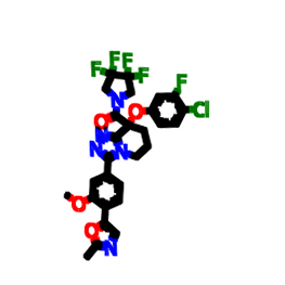 COc1cc(-c2nnc3n2CCCC3(Oc2ccc(Cl)c(F)c2)C(=O)N2CC(F)(F)C(F)(F)C2)ccc1-c1cnc(C)o1